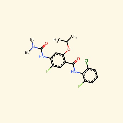 CCN(CC)C(=O)Nc1cc(OC(C)C(F)(F)F)c(C(=O)Nc2c(F)cccc2Cl)cc1F